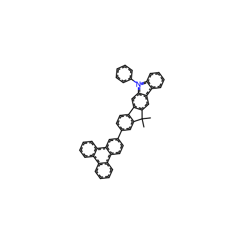 CC1(C)c2cc(-c3ccc4c5ccccc5c5ccccc5c4c3)ccc2-c2cc3c(cc21)c1ccccc1n3-c1ccccc1